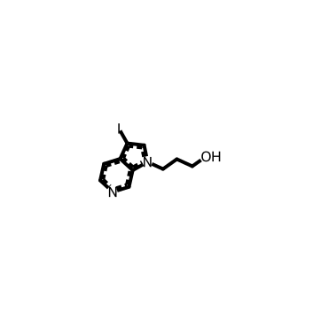 OCCCn1cc(I)c2ccncc21